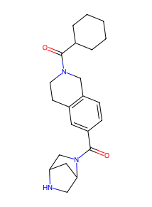 O=C(C1CCCCC1)N1CCc2cc(C(=O)N3CC4CC3CN4)ccc2C1